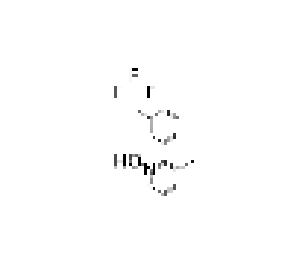 Cc1ccc[n+](O)c1-c1cccc(CC(F)(F)F)c1